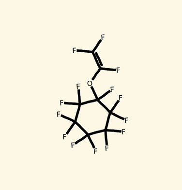 FC(F)=C(F)OC1(F)C(F)(F)C(F)(F)C(F)(F)C(F)(F)C1(F)F